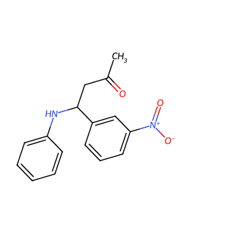 CC(=O)CC(Nc1ccccc1)c1cccc([N+](=O)[O-])c1